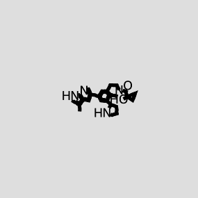 Cc1c[nH]c2ncc(-c3cc4c(c(C5CCCN5)c3)CN(C(=O)C3(O)CC3)CC4)cc12